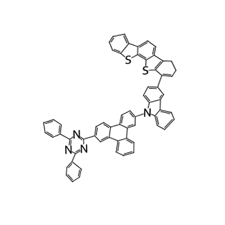 C1=C(c2ccc3c(c2)c2ccccc2n3-c2ccc3c4ccc(-c5nc(-c6ccccc6)nc(-c6ccccc6)n5)cc4c4ccccc4c3c2)c2sc3c(ccc4c5ccccc5sc43)c2CC1